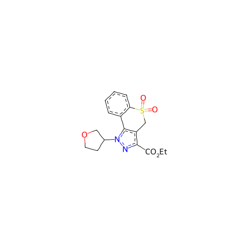 CCOC(=O)c1nn(C2CCOC2)c2c1CS(=O)(=O)c1ccccc1-2